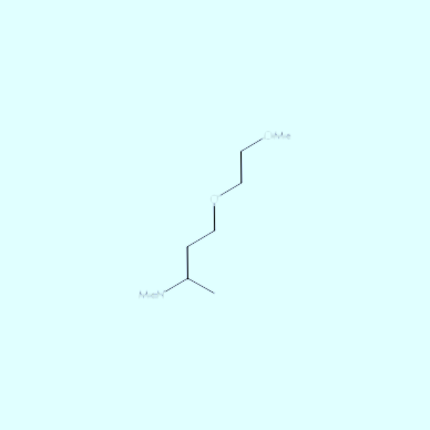 CNC(C)CCOCCOC